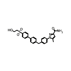 Cc1cc(C(N)=O)nn1-c1ccc(Cc2ccc(-c3ccc(S(=O)(=O)CCO)cc3)cc2)cc1